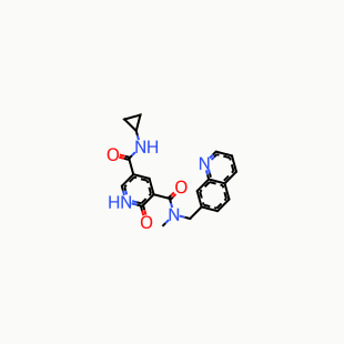 CN(Cc1ccc2cccnc2c1)C(=O)c1cc(C(=O)NC2CC2)c[nH]c1=O